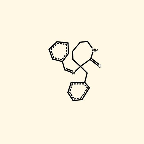 O=C1NCCCCC1(Cc1ccccc1)N=Cc1ccccc1